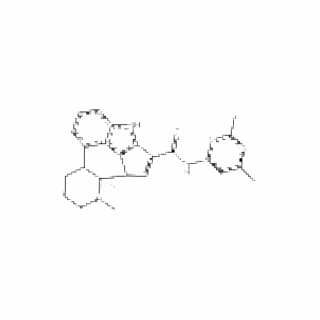 Cc1cc(NC(=O)C2=CC3c4c2[nH]c2cccc(c42)C2CCCN(C)[C@H]32)nc(C)n1